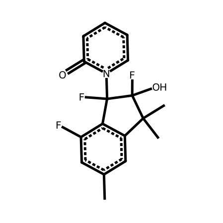 Cc1cc(F)c2c(c1)C(C)(C)C(O)(F)C2(F)n1ccccc1=O